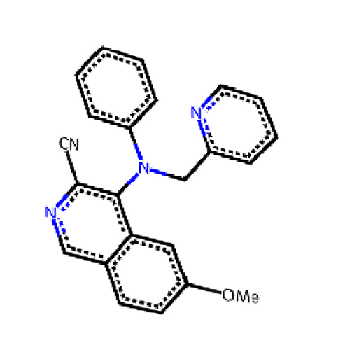 COc1ccc2cnc(C#N)c(N(Cc3ccccn3)c3ccccc3)c2c1